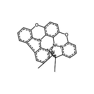 Cc1nn2c(c1C)-c1cccc3[n+]1[N+]21c2c(ccc4c2-n2c5c(cccc5c5ccc[n+]1c52)O4)O3